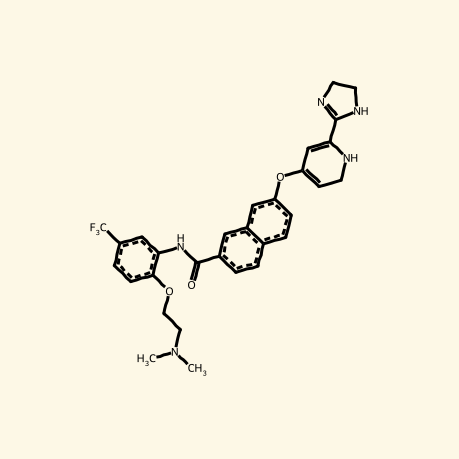 CN(C)CCOc1ccc(C(F)(F)F)cc1NC(=O)c1ccc2ccc(OC3=CCNC(C4=NCCN4)=C3)cc2c1